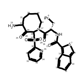 CC(C)C[C@H](NC(=O)c1scc2ccccc12)C(=O)N1CCCCC(N)C(=O)C1S(=O)(=O)c1ccccn1